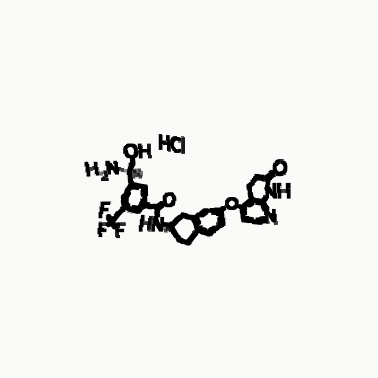 Cl.N[C@H](CO)c1cc(C(=O)N[C@@H]2CCc3ccc(Oc4ccnc5c4CCC(=O)N5)cc3C2)cc(C(F)(F)F)c1